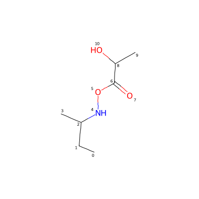 CCC(C)NOC(=O)C(C)O